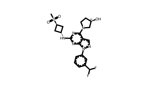 CS(=O)(=O)[C@H]1C[C@H](Nc2nc(N3CC[C@@H](O)C3)c3cnn(-c4cccc(C(F)F)c4)c3n2)C1